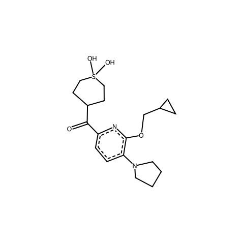 O=C(c1ccc(N2CCCC2)c(OCC2CC2)n1)C1CCS(O)(O)CC1